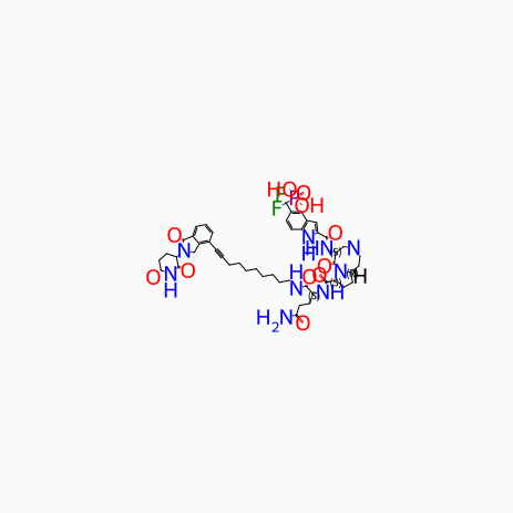 CN1CC[C@H]2CC[C@@H](C(=O)N[C@@H](CCC(N)=O)C(=O)NCCCCCCCCC#Cc3cccc4c3CN(C3CCC(=O)NC3=O)C4=O)N2C(=O)[C@@H](NC(=O)c2cc3cc(C(F)(F)P(=O)(O)O)ccc3[nH]2)C1